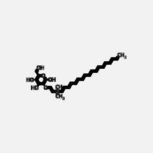 CCCCCCCCCCCCCCCCCC[Si](C)(C)CCO[C@@H]1[C@@H](O)[C@H](O)[C@@H](CO)O[C@H]1O